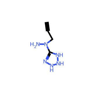 C#CCN(N)C1=NNNN1